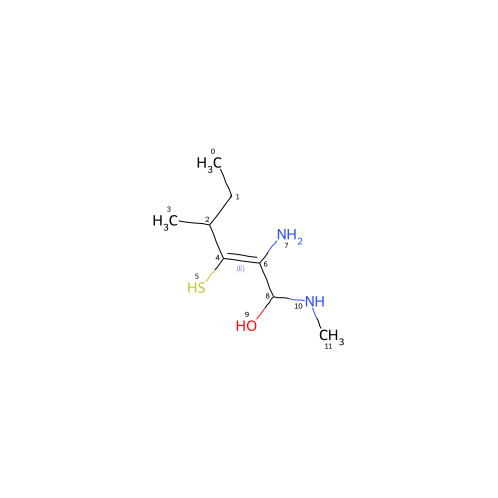 CCC(C)/C(S)=C(\N)C(O)NC